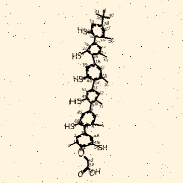 Cc1cc(-c2c(C)cc(-c3c(C)cc(-c4c(C)cc(-c5c(C)cc(-c6c(C)cc(C(C)(C)C)cc6S)cc5S)cc4S)cc3S)cc2S)cc(S)c1OCC(=O)O